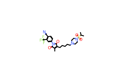 CC1=C(CCCCCN2CCN(S(=O)(=O)C(C)C)CC2)C(=O)N(c2ccc(C#N)c(C(F)(F)F)c2)C1=O